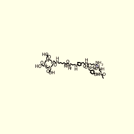 CCC(=O)NCCNC(=O)/N=C(/N)NCCC[C@@H](NC(=O)Cc1ccc(NCCCNC(=O)[C@H](N)CCCCNC(=O)CN2CCN(CC(=O)O)CCN(CC(=O)O)CCN(CC(=O)O)CC2)cc1)C(=O)NCc1ccc(O)cc1